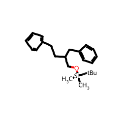 CC(C)(C)[Si](C)(C)OCC(CCc1ccccc1)Cc1ccccc1